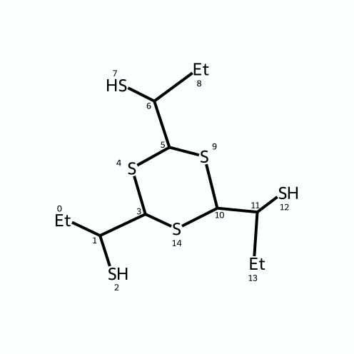 CCC(S)C1SC(C(S)CC)SC(C(S)CC)S1